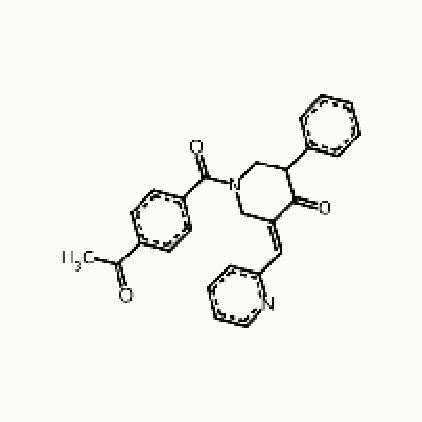 CC(=O)c1ccc(C(=O)N2CC(=Cc3ccccn3)C(=O)C(c3ccccc3)C2)cc1